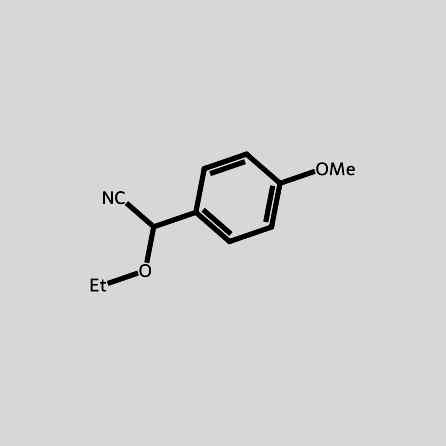 CCOC(C#N)c1ccc(OC)cc1